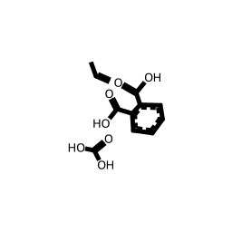 C=CC.O=C(O)O.O=C(O)c1ccccc1C(=O)O